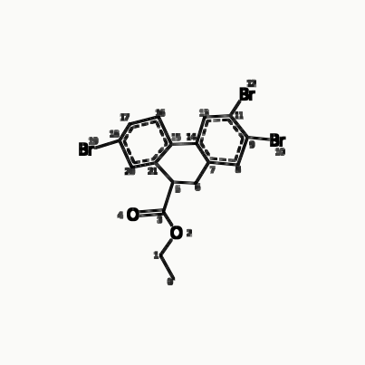 CCOC(=O)C1Cc2cc(Br)c(Br)cc2-c2ccc(Br)cc21